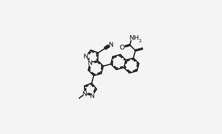 C=C(C(N)=O)c1cccc2cc(-c3cc(-c4cnn(C)c4)cn4ncc(C#N)c34)ccc12